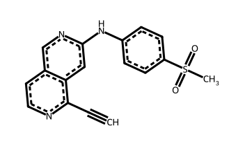 C#Cc1nccc2cnc(Nc3ccc(S(C)(=O)=O)cc3)cc12